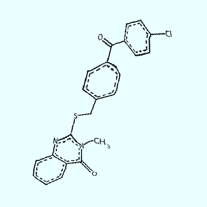 Cn1c(SCc2ccc(C(=O)c3ccc(Cl)cc3)cc2)nc2ccccc2c1=O